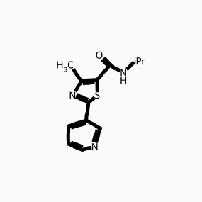 Cc1nc(-c2cccnc2)sc1C(=O)NC(C)C